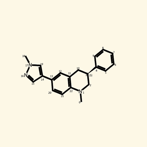 CN1C[C@H](c2ccccc2)Cc2cc(-c3cnn(C)c3)ccc21